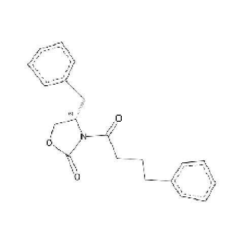 O=C(CCCc1ccccc1)N1C(=O)OC[C@@H]1Cc1ccccc1